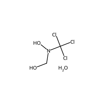 O.OCN(O)C(Cl)(Cl)Cl